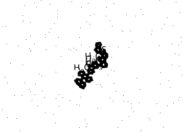 CC1(C)c2ccc(-c3cccc4c3C(C)(C)c3c-4ccc4sc5c6ccccc6ccc5c34)cc2-c2ccc(-c3c4ccccc4c(-c4cccc5ccccc45)c4ccccc34)cc21